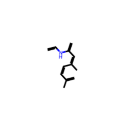 C=CNC(=C)/C=C(C)\C=C/C(=C)C